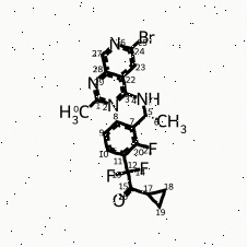 Cc1nc(N[C@H](C)c2cccc(C(F)(F)C(=O)C3CC3)c2F)c2cc(Br)ncc2n1